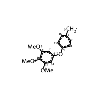 [CH2]c1ccc(Oc2cc(OC)c(OC)c(OC)c2)cc1